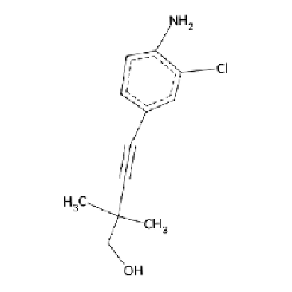 CC(C)(C#Cc1ccc(N)c(Cl)c1)CO